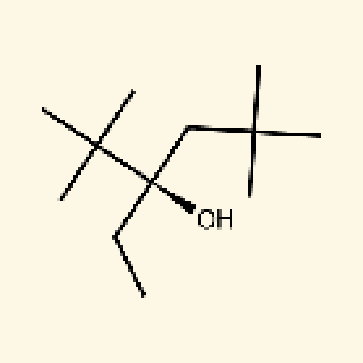 CC[C@@](O)(CC(C)(C)C)C(C)(C)C